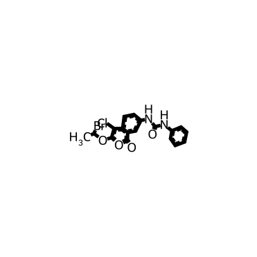 CC(Br)Oc1oc(=O)c2cc(NC(=O)Nc3ccccc3)ccc2c1Cl